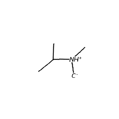 [CH2-][NH+](C)C(C)C